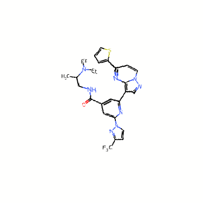 CCN(CC)C(C)CNC(=O)c1cc(-c2cnn3ccc(-c4cccs4)nc23)nc(-n2ccc(C(F)(F)F)n2)c1